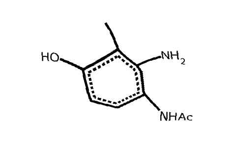 CC(=O)Nc1ccc(O)c(C)c1N